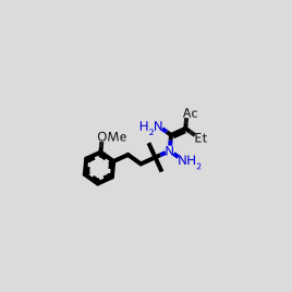 CC/C(C(C)=O)=C(/N)N(N)C(C)(C)CCc1ccccc1OC